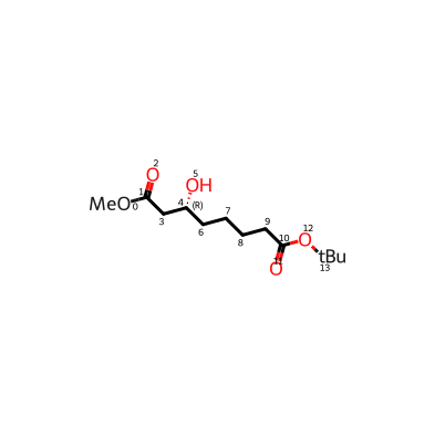 COC(=O)C[C@H](O)CCCCC(=O)OC(C)(C)C